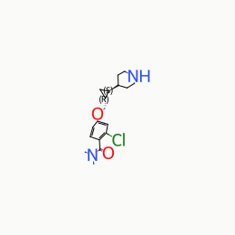 CN(C)C(=O)c1ccc(OC[C@@H]2C[C@H]2C2CCNCC2)cc1Cl